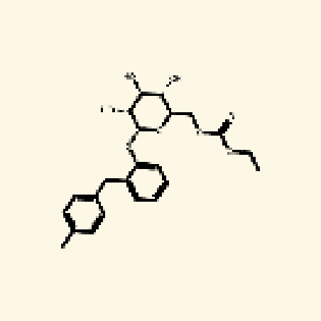 CCOC(=O)OC[C@H]1O[C@@H](Oc2ccccc2Cc2ccc(C)cc2)[C@H](O)[C@@H](O)[C@@H]1O